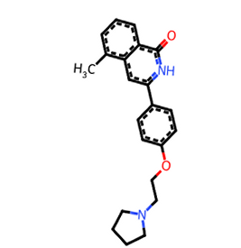 Cc1cccc2c(=O)[nH]c(-c3ccc(OCCN4CCCC4)cc3)cc12